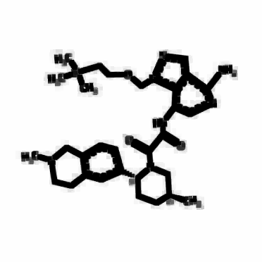 C[C@H]1CC[C@H](c2ccc3c(c2)CCN(C)C3)N(C(=O)C(=O)Nc2cnc(N)c3cnn(COCC[Si](C)(C)C)c23)C1